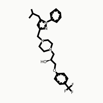 CC(C)Cc1cc(CN2CCN(C[C@H](O)COc3ccc(C(F)(F)F)cc3)CC2)nn1-c1ccccc1